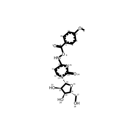 COc1ccc(C(=O)ONc2ccn([C@@H]3O[C@H](CO)[C@@H](O)[C@H]3O)c(=O)n2)cc1